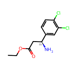 CCOC(=O)C[C@H](N)c1ccc(Cl)c(Cl)c1